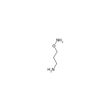 NCCCON